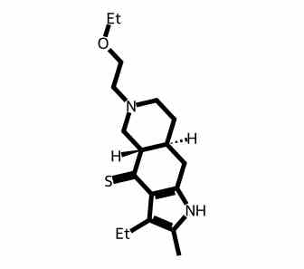 CCOCCN1CC[C@H]2Cc3[nH]c(C)c(CC)c3C(=S)[C@@H]2C1